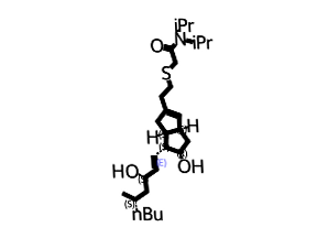 CCCC[C@H](C)C[C@H](O)/C=C/[C@@H]1[C@H]2CC(CCSCC(=O)N(C(C)C)C(C)C)=C[C@H]2C[C@H]1O